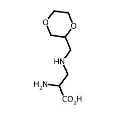 NC(CNCC1COCCO1)C(=O)O